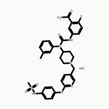 Cc1cccc(N(C(=O)Nc2ccc(F)c(C(N)=O)c2)C2CCN(Cc3ccc(Oc4ccc(NS(C)(=O)=O)cc4)nc3)CC2)c1.Cl